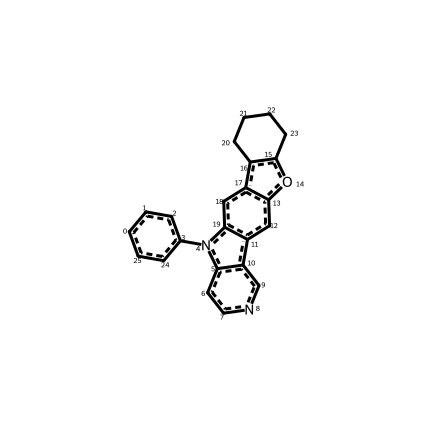 c1ccc(-n2c3ccncc3c3cc4oc5c(c4cc32)CCCC5)cc1